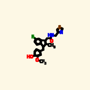 CC1=C(CC(=O)NCc2cscn2)c2cc(F)ccc2/C1=C\c1ccc(O)c(OC(F)(F)F)c1